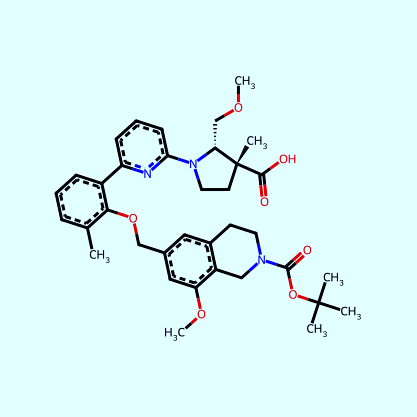 COC[C@H]1N(c2cccc(-c3cccc(C)c3OCc3cc4c(c(OC)c3)CN(C(=O)OC(C)(C)C)CC4)n2)CC[C@@]1(C)C(=O)O